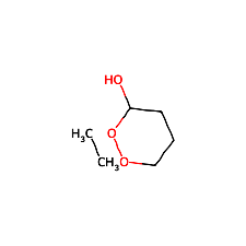 CC.OC1CCCOO1